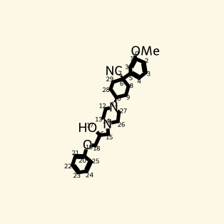 COc1cccc([C@]2(C#N)CC[C@@H](N3CCN(CC(O)COc4ccccc4)CC3)CC2)c1